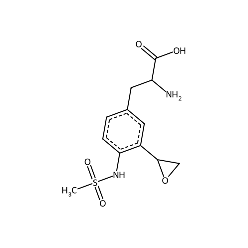 CS(=O)(=O)Nc1ccc(CC(N)C(=O)O)cc1C1CO1